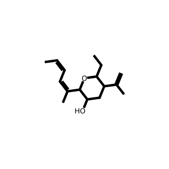 C=C(C)C1CC(O)C(/C(C)=C\C=C/C)OC1CC